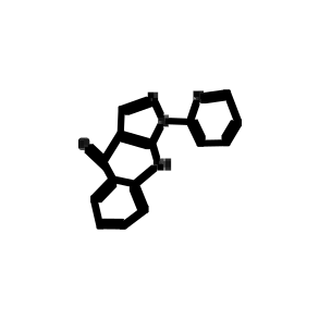 O=c1c2ccccc2[nH]c2c1cnn2-c1ccccn1